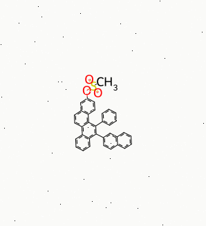 CS(=O)(=O)Oc1ccc2c(ccc3c4ccccc4c(-c4ccc5ccccc5c4)c(-c4ccccc4)c23)c1